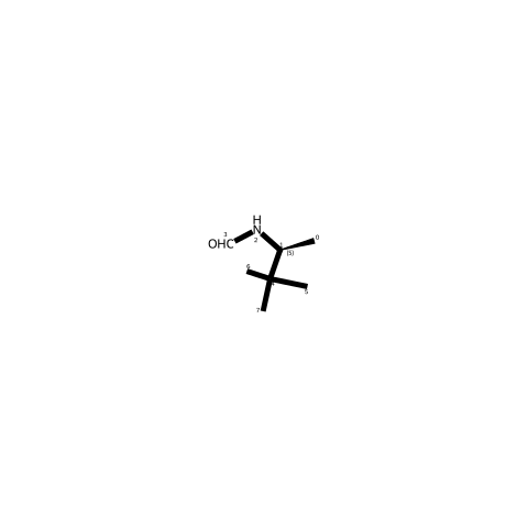 C[C@H](NC=O)C(C)(C)C